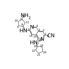 N#Cc1cc2cnc(N[C@H]3CC[C@H](N)C3)cc2c(NC2CCCC2)n1